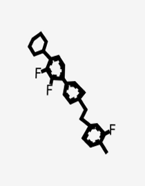 Cc1ccc(CCc2ccc(-c3ccc(C4CCCCC4)c(F)c3F)cc2)cc1F